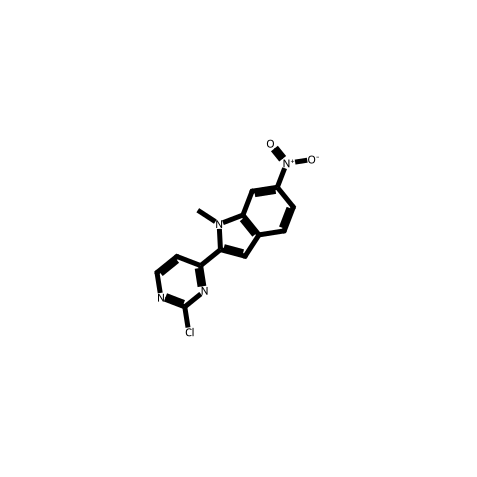 Cn1c(-c2ccnc(Cl)n2)cc2ccc([N+](=O)[O-])cc21